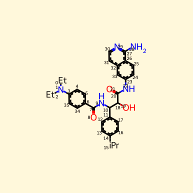 CCN(CC)c1ccc(C(=O)NC(c2ccc(C(C)C)cc2)C(O)C(=O)Nc2ccc3c(N)nccc3c2)cc1